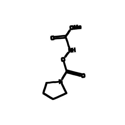 COC(=O)NOC(=O)N1CCCC1